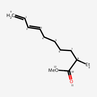 C=CC=CCCCCC(CC)C(=O)OC